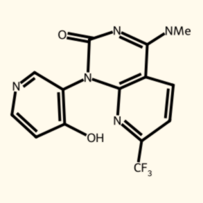 CNc1nc(=O)n(-c2cnccc2O)c2nc(C(F)(F)F)ccc12